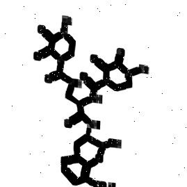 CCN1CCN(C(=O)NC[C@@H](NC(=O)N2CCN(CC)C(=O)C2=O)C(=O)N[C@H]2Cc3cccc(C(=O)O)c3OB2O)C(=O)C1=O